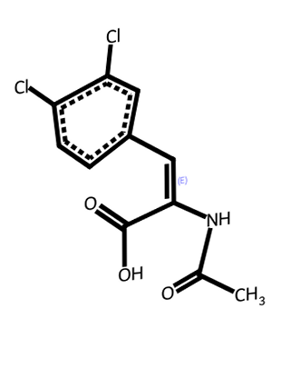 CC(=O)N/C(=C/c1ccc(Cl)c(Cl)c1)C(=O)O